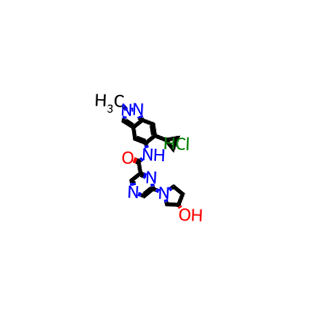 Cl.Cn1cc2cc(NC(=O)c3cncc(N4CCC(O)C4)n3)c(C3CC3)cc2n1